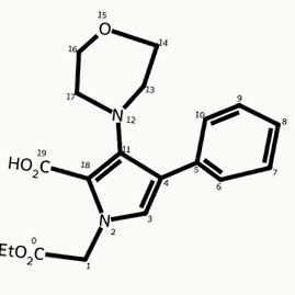 CCOC(=O)Cn1cc(-c2ccccc2)c(N2CCOCC2)c1C(=O)O